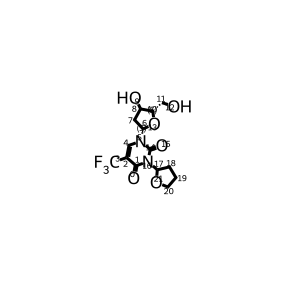 O=c1c(C(F)(F)F)cn([C@@H]2CC(O)[C@H](CO)O2)c(=O)n1C1CCCO1